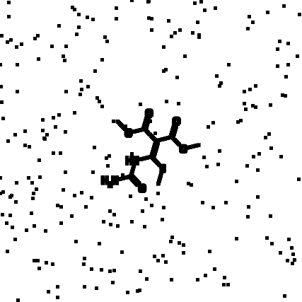 COC(=O)C(C(=O)OC)=C(NC(N)=O)SC